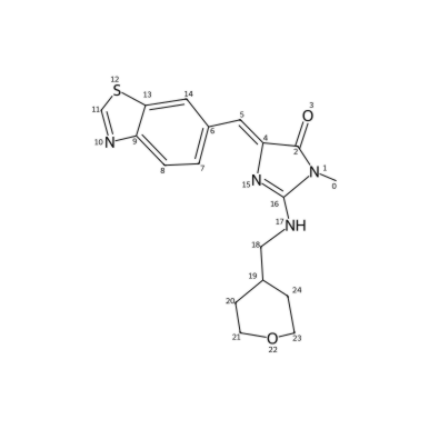 CN1C(=O)/C(=C/c2ccc3ncsc3c2)N=C1NCC1CCOCC1